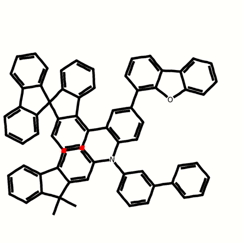 CC1(C)c2ccccc2-c2ccc(N(c3cccc(-c4ccccc4)c3)c3ccc(-c4cccc5c4oc4ccccc45)cc3-c3cccc4c3-c3ccccc3C43c4ccccc4-c4ccccc43)cc21